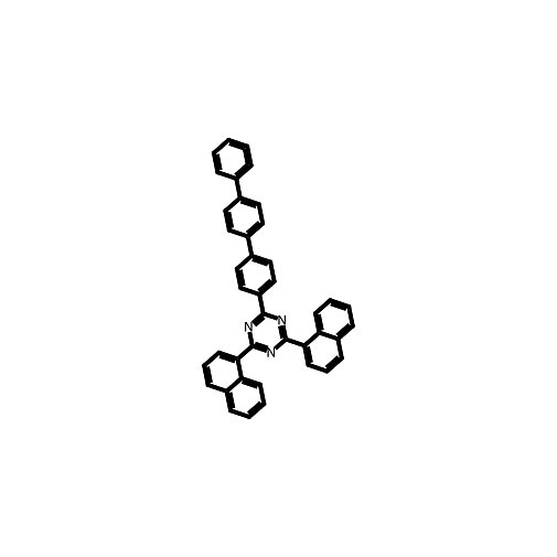 C1=C=C(c2ccc(-c3ccc(-c4nc(-c5cccc6ccccc56)nc(-c5cccc6ccccc56)n4)cc3)cc2)C=CC=1